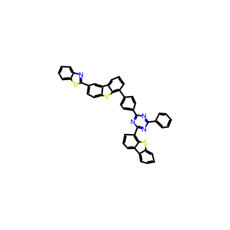 c1ccc(-c2nc(-c3ccc(-c4cccc5c4sc4ccc(-c6nc7ccccc7s6)cc45)cc3)nc(-c3cccc4c3sc3ccccc34)n2)cc1